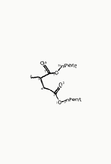 CCCCCOC(=O)CC(C)C(=O)OCCCCC